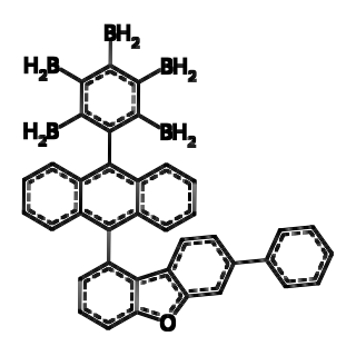 Bc1c(B)c(B)c(-c2c3ccccc3c(-c3cccc4oc5cc(-c6ccccc6)ccc5c34)c3ccccc23)c(B)c1B